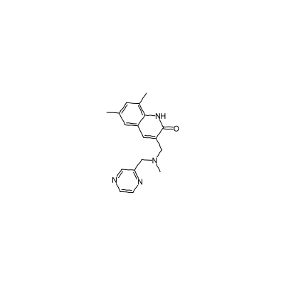 Cc1cc(C)c2[nH]c(=O)c(CN(C)Cc3cnccn3)cc2c1